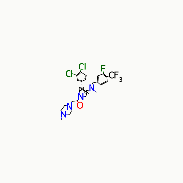 CN1CCN(CC(=O)N2C[C@H](c3ccc(Cl)c(Cl)c3)[C@H](N(C)Cc3ccc(C(F)(F)F)c(F)c3)C2)CC1